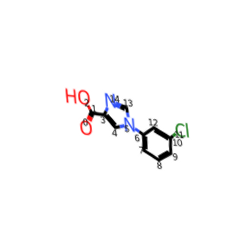 O=C(O)c1cn(-c2cccc(Cl)c2)cn1